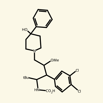 COC(CN1CCC(O)(c2ccccc2)CC1)C(c1ccc(Cl)c(Cl)c1)C(NC(=O)O)C(C)(C)C